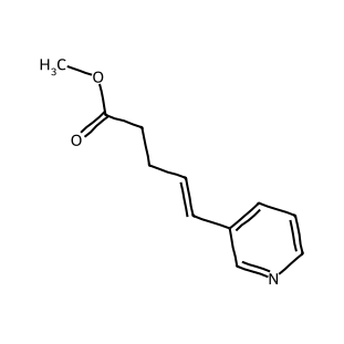 COC(=O)CCC=Cc1cccnc1